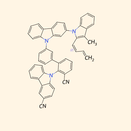 C=C/C=C\c1c(C)c2ccccc2n1-c1ccc2c3ccccc3n(-c3cccc(-c4cccc(C#N)c4-n4c5ccccc5c5cc(C#N)ccc54)c3)c2c1